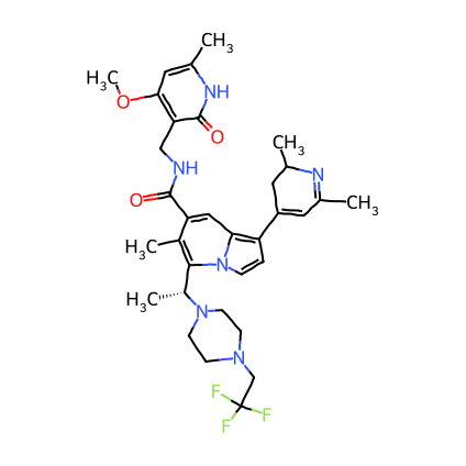 COc1cc(C)[nH]c(=O)c1CNC(=O)c1cc2c(C3=CC(C)=NC(C)C3)ccn2c([C@@H](C)N2CCN(CC(F)(F)F)CC2)c1C